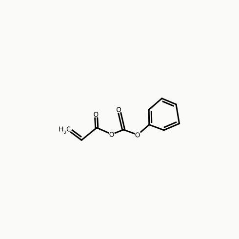 C=CC(=O)OC(=O)Oc1ccccc1